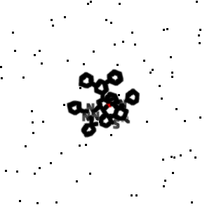 CC1CC(C2=CCCC3SC4=C(c5c(n(C6=CCCC=C6)c6ccccc56)C[C@H]4C)C23)C(c2nc(C3=CC=CCC3)nc(C3(C)C=CC=CC3)n2)=CC1C1C=C(c2ccccc2)C=C(C2=CC=CCC2)C1